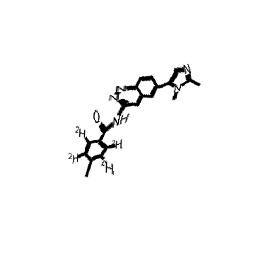 [2H]c1c([2H])c(C(=O)Nc2cc3cc(-c4cnc(C)n4C)ccc3nn2)c([2H])c([2H])c1C